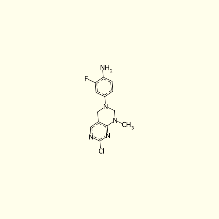 CN1CN(c2ccc(N)c(F)c2)Cc2cnc(Cl)nc21